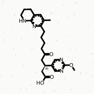 COc1ncc([C@@H](CC(=O)O)CC(=O)CCCCc2nc3c(cc2C)CCCN3)cn1